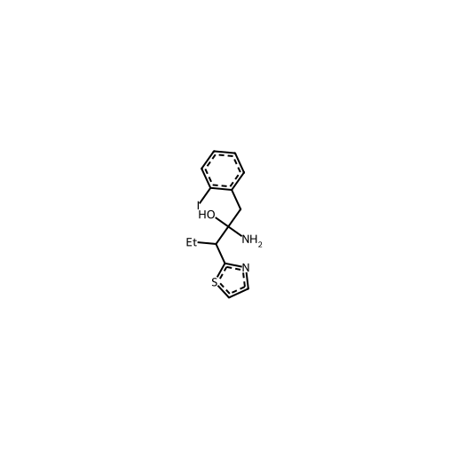 CCC(c1nccs1)C(N)(O)Cc1ccccc1I